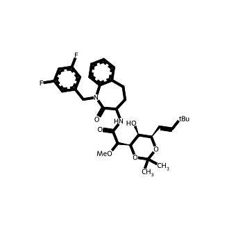 COC(C(=O)NC1CCc2ccccc2N(Cc2cc(F)cc(F)c2)C1=O)[C@@H]1OC(C)(C)O[C@H](C=CC(C)(C)C)[C@@H]1O